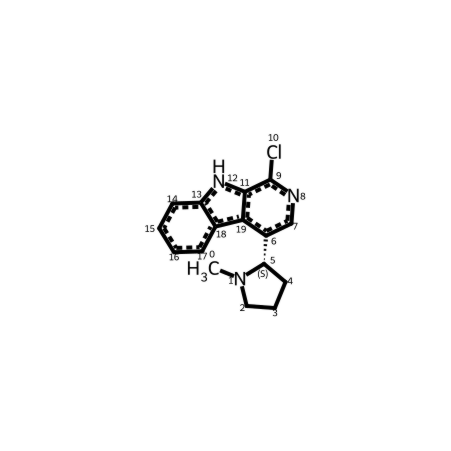 CN1CCC[C@H]1c1cnc(Cl)c2[nH]c3ccccc3c12